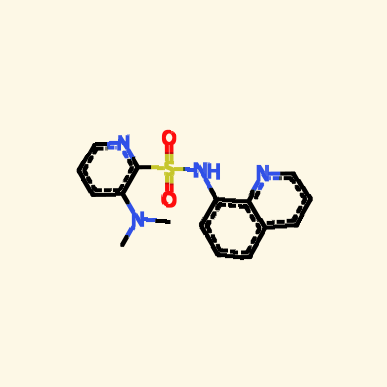 CN(C)c1cccnc1S(=O)(=O)Nc1cccc2cccnc12